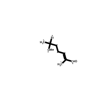 CCC(C)(CCC=C(C)C=O)OC